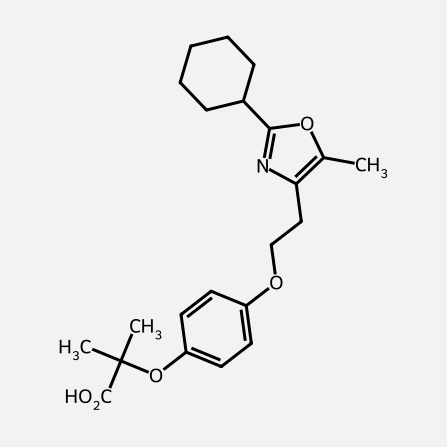 Cc1oc(C2CCCCC2)nc1CCOc1ccc(OC(C)(C)C(=O)O)cc1